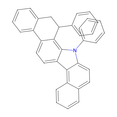 c1ccc(C2Cc3ccccc3-c3ccc4c5c6ccccc6ccc5n(-c5ccccc5)c4c32)cc1